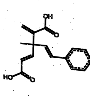 C=C(C(=O)O)C(C)(C=CC(=O)O)C=Cc1ccccc1